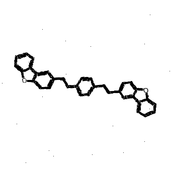 c1ccc2c(c1)oc1ccc(CCc3ccc(CCc4ccc5oc6ccccc6c5c4)cc3)cc12